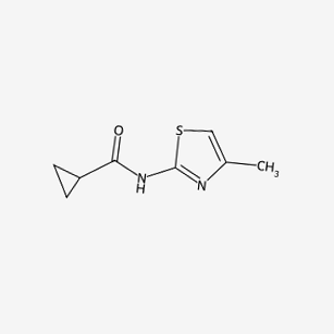 Cc1csc(NC(=O)C2CC2)n1